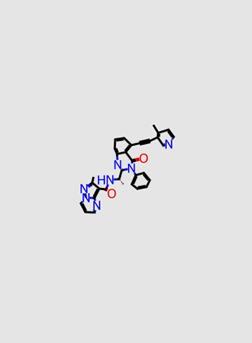 Cc1ccncc1C#Cc1cccc2nc([C@H](C)NC(=O)c3c(C)nn4cccnc34)n(-c3ccccc3)c(=O)c12